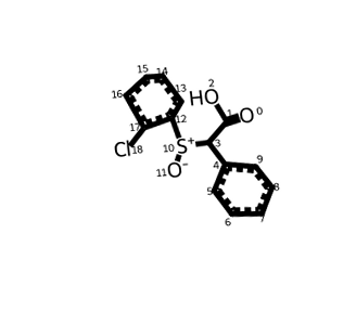 O=C(O)C(c1ccccc1)[S+]([O-])c1ccccc1Cl